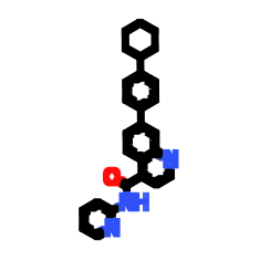 O=C(Nc1ccccn1)c1ccnc2cc(-c3ccc(C4CCCCC4)cc3)ccc12